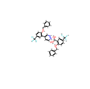 FC(F)(F)c1ccc(OCc2ccccc2)c(-c2ccnnc2)c1.OB(O)c1cc(C(F)(F)F)ccc1OCc1ccccc1